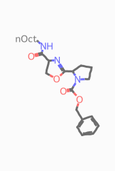 CCCCCCCCNC(=O)C1COC(C2CCCN2C(=O)OCc2ccccc2)=N1